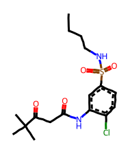 CCCCNS(=O)(=O)c1ccc(Cl)c(NC(=O)CC(=O)C(C)(C)C)c1